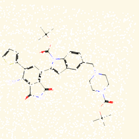 CC(C)(C)OC(=O)N1CCN(Cc2ccc3c(c2)cc(-c2cc(-c4cccs4)c(N)c4c2C(=O)NC4=O)n3C(=O)OC(C)(C)C)CC1